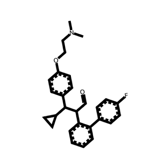 CN(C)CCOc1ccc(C(C2CC2)C(C=O)c2ccccc2-c2ccc(F)cc2)cc1